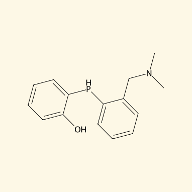 CN(C)Cc1ccccc1Pc1ccccc1O